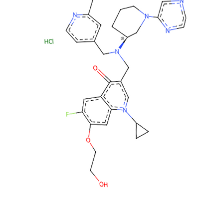 Cc1cc(CN(Cc2cn(C3CC3)c3cc(OCCO)c(F)cc3c2=O)[C@H]2CCCN(c3cnccn3)C2)ccn1.Cl